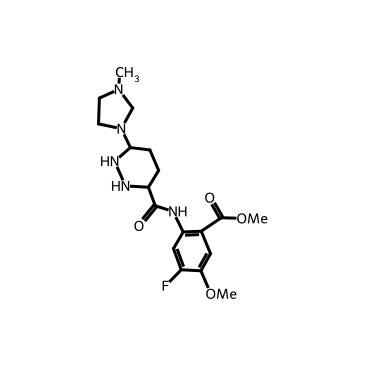 COC(=O)c1cc(OC)c(F)cc1NC(=O)C1CCC(N2CCN(C)C2)NN1